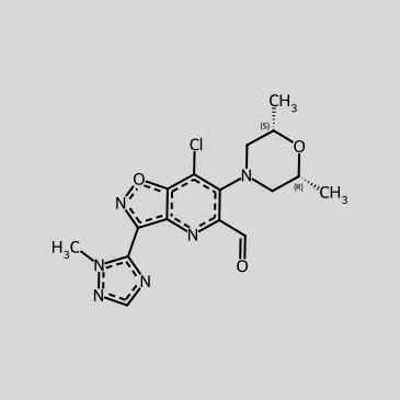 C[C@@H]1CN(c2c(C=O)nc3c(-c4ncnn4C)noc3c2Cl)C[C@H](C)O1